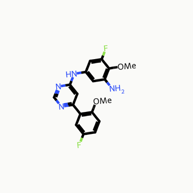 COc1ccc(F)cc1-c1cc(Nc2cc(N)c(OC)c(F)c2)ncn1